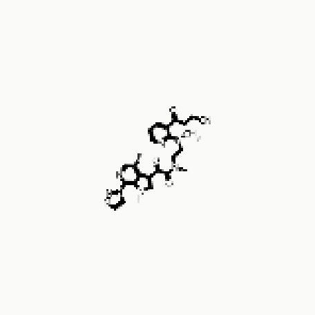 CCN(CCN(C)c1ncccc1C(=O)CCC#N)C(=O)C(=O)c1c[nH]c2c(-n3ccnn3)ncc(F)c12